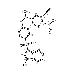 CN(Cc1ccc(S(=O)(=O)n2cc(Br)c3ccccc32)cc1)c1ccc([N+](=O)[O-])c(C#N)c1